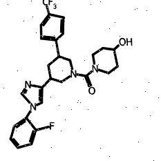 O=C(N1CCC(O)CC1)N1CC(c2ccc(C(F)(F)F)cc2)CC(c2cn(-c3ccccc3F)cn2)C1